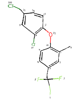 Cc1cc(C(F)(F)F)ccc1Oc1ccc(Cl)cc1Cl